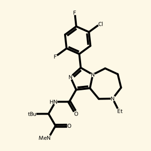 CCN1CCCn2c(-c3cc(Cl)c(F)cc3F)nc(C(=O)NC(C(=O)NC)C(C)(C)C)c2C1